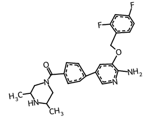 CC1CN(C(=O)c2ccc(-c3cnc(N)c(OCc4ccc(F)cc4F)c3)cc2)CC(C)N1